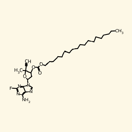 C#CC1(C)OC(n2cnc3c(N)nc(F)nc32)CC1OC(=O)OCCCCCCCCCCCCCCCCCCC